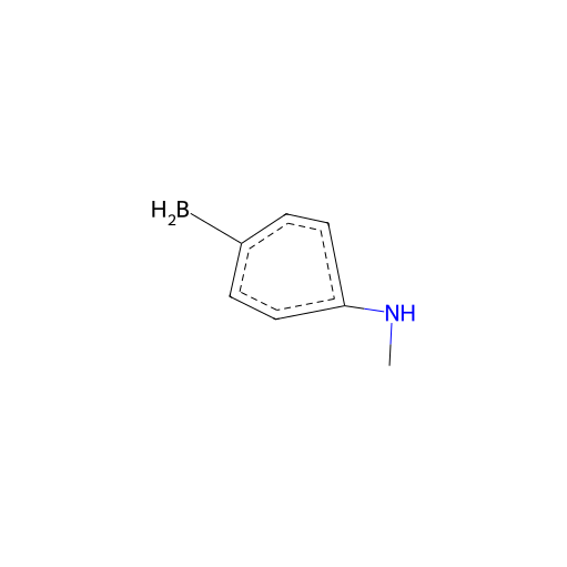 Bc1ccc(NC)cc1